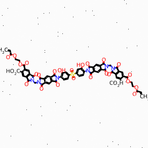 C=CC(=O)OCCOC(=O)c1cc2c(cc1C(=O)O)C(=O)N(Cn1c(=O)c3cc4c(=O)n(-c5ccc(S(=O)(=O)c6ccc(-n7c(=O)c8cc9c(=O)n(CN%10C(=O)c%11cc(C(=O)O)c(C(=O)OCCOC(=O)C=C)cc%11C%10=O)c(=O)c9cc8c7=O)c(O)c6)cc5O)c(=O)c4cc3c1=O)C2=O